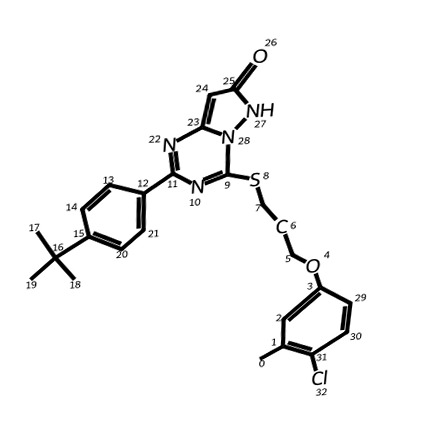 Cc1cc(OCCCSc2nc(-c3ccc(C(C)(C)C)cc3)nc3cc(=O)[nH]n23)ccc1Cl